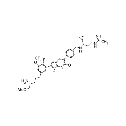 COC[C@H](N)CCCc1cc(OC(F)(F)F)c(F)c(-c2cc3cn(-c4ccc(CNC(CCNC(C)=N)C5CC5)cc4)c(=O)nc3[nH]2)c1